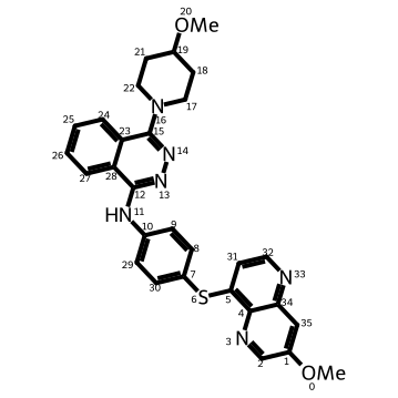 COc1cnc2c(Sc3ccc(Nc4nnc(N5CCC(OC)CC5)c5ccccc45)cc3)ccnc2c1